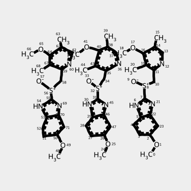 COc1ccc2[nH]c([S+]([O-])Cc3ncc(C)c(OC)c3C)nc2c1.COc1ccc2[nH]c([S+]([O-])Cc3ncc(C)c(OC)c3C)nc2c1.COc1ccc2[nH]c([S+]([O-])Cc3ncc(C)c(OC)c3C)nc2c1